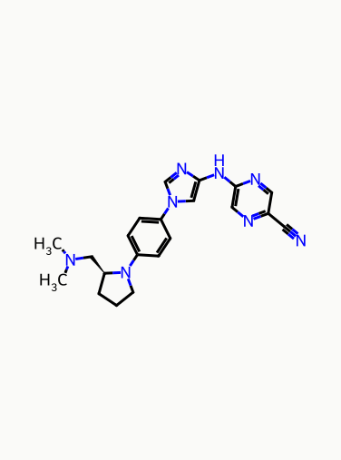 CN(C)C[C@@H]1CCCN1c1ccc(-n2cnc(Nc3cnc(C#N)cn3)c2)cc1